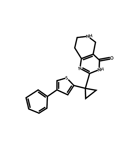 O=c1[nH]c(C2(c3cc(-c4ccccc4)cs3)CC2)nc2c1CNCC2